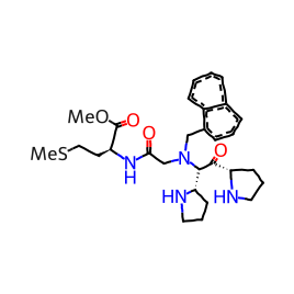 COC(=O)[C@H](CCSC)NC(=O)CN(Cc1cccc2ccccc12)C(C(=O)[C@@H]1CCCN1)[C@@H]1CCCN1